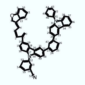 C=C(/C=C\C=C1/COc2ccccc21)c1ccc2c(c1)c1cc(-c3cccc(-c4ccc5c(c4)c4ccccc4n5-c4ccccc4)c3)ccc1n2-c1cccc(C#N)c1